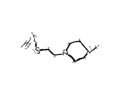 CSCCN1CCN(I)CC1